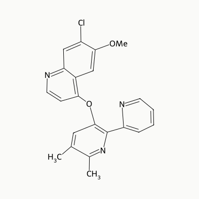 COc1cc2c(Oc3cc(C)c(C)nc3-c3ccccn3)ccnc2cc1Cl